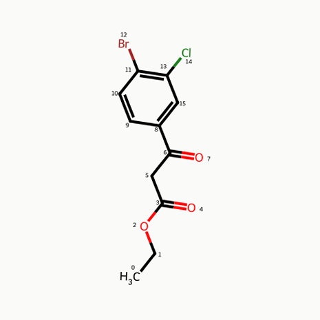 CCOC(=O)CC(=O)c1ccc(Br)c(Cl)c1